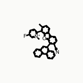 Cc1ccc2c(oc3c(-c4cc5ccccc5c5ccccc45)c(C#N)ccc32)c1-c1ccc(F)c[n+]1C